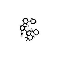 BC1(c2cc(-c3c(C#N)ccc4c3oc3c(-c5ccccn5)cccc34)cc3c2C(C)(C)CCC3(C)C)CCCCC1